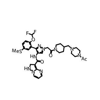 CSc1ccc(OC(F)F)c(-c2nn(CC(=O)N3CCC(CN4CCN(C(C)=O)CC4)CC3)cc2NC(=O)C2=C3N=CC=CN3NC2)c1